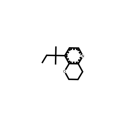 CCC(C)(C)c1ccnc2c1OCCC2